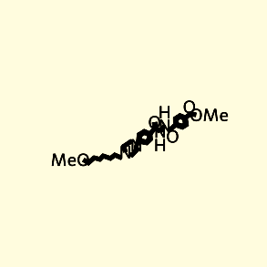 COCCCCCCCN1CCN(c2ccc(C(=O)NNC(=O)c3ccc(C(=O)OC)cc3)cc2)CC1